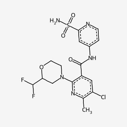 Cc1nc(N2CCOC(C(F)F)C2)c(C(=O)Nc2ccnc(S(N)(=O)=O)c2)cc1Cl